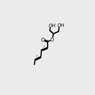 C/C=C/C=C/C(=O)OC(CO)CO